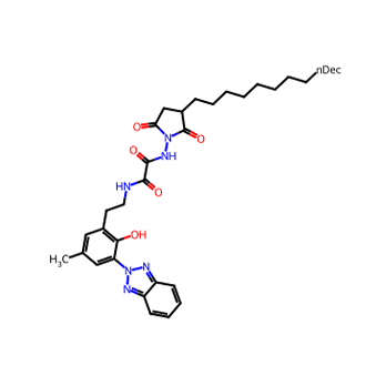 CCCCCCCCCCCCCCCCCCC1CC(=O)N(NC(=O)C(=O)NCCc2cc(C)cc(-n3nc4ccccc4n3)c2O)C1=O